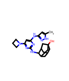 Cc1cc(Nc2cc(N3CCC3)nc(NC3C4CC5CC3CC(O)(C5)C4)n2)n[nH]1